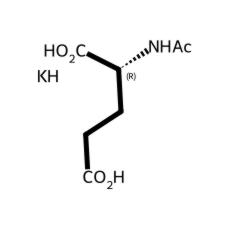 CC(=O)N[C@H](CCC(=O)O)C(=O)O.[KH]